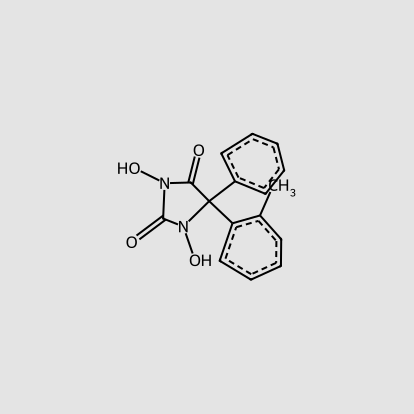 Cc1ccccc1C1(c2ccccc2)C(=O)N(O)C(=O)N1O